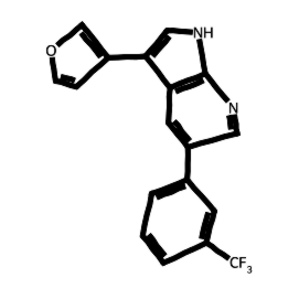 FC(F)(F)c1cccc(-c2cnc3[nH]cc(-c4ccoc4)c3c2)c1